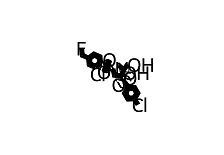 O=S(=O)(c1ccc(Cl)cc1)[C@H]1CN(S(=O)(=O)c2ccc(CF)cc2Cl)C[C@@]1(O)CO